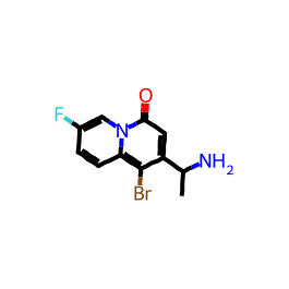 CC(N)c1cc(=O)n2cc(F)ccc2c1Br